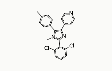 Cc1ccc(-c2c(-c3ccncc3)nc(-c3c(Cl)cccc3Cl)n2C)cc1